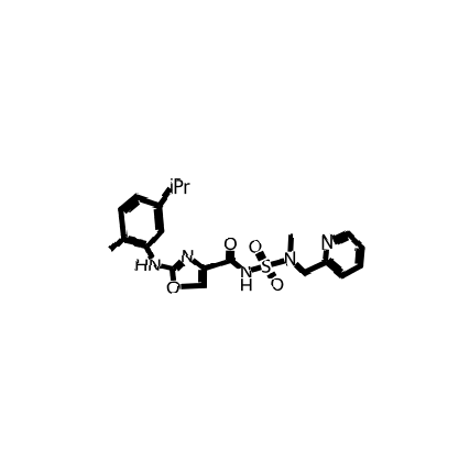 Cc1ccc(C(C)C)cc1Nc1nc(C(=O)NS(=O)(=O)N(C)Cc2ccccn2)co1